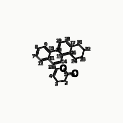 O=C1CCC=CO1.c1ccc2c(c1)ccc1c3c(ccc12)CCCC3